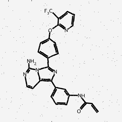 C=CC(=O)Nc1cccc(-c2nc(-c3ccc(Oc4ncccc4C(F)(F)F)cc3)n3c(N)nccc23)c1